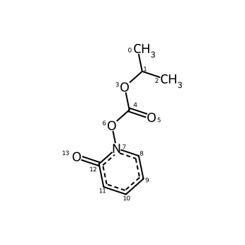 CC(C)OC(=O)On1ccccc1=O